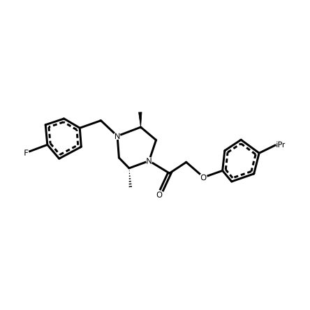 CC(C)c1ccc(OCC(=O)N2C[C@H](C)N(Cc3ccc(F)cc3)C[C@H]2C)cc1